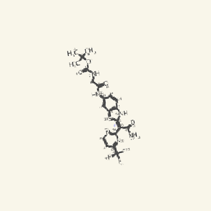 CC(C)(C)OC(=O)NCC(=O)Nc1ccc2c(c1)S/C(=C(/C(N)=O)c1nccc(C(F)(F)F)n1)N2